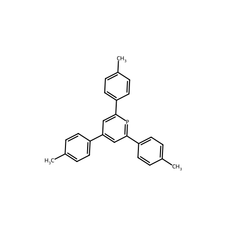 Cc1ccc(-c2cc(-c3ccc(C)cc3)pc(-c3ccc(C)cc3)c2)cc1